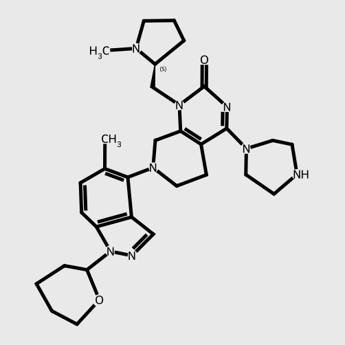 Cc1ccc2c(cnn2C2CCCCO2)c1N1CCc2c(N3CCNCC3)nc(=O)n(C[C@@H]3CCCN3C)c2C1